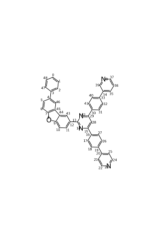 c1ccc(-c2ccc3oc4ccc(-c5nc(-c6ccc(-c7ccncc7)cc6)cc(-c6ccc(-c7cccnc7)cc6)n5)cc4c3c2)cc1